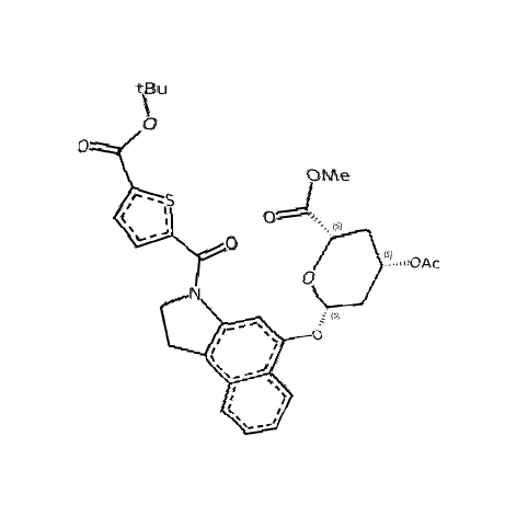 COC(=O)[C@@H]1C[C@H](OC(C)=O)C[C@H](Oc2cc3c(c4ccccc24)CCN3C(=O)c2ccc(C(=O)OC(C)(C)C)s2)O1